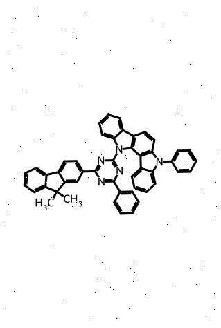 CC1(C)c2ccccc2-c2ccc(-c3nc(-c4ccccc4)nc(-n4c5ccccc5c5ccc6c(c7ccccc7n6-c6ccccc6)c54)n3)cc21